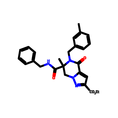 CCOC(=O)c1cc2n(n1)CC(C)(C(=O)NCc1ccccc1)N(Cc1cccc(C)c1)C2=O